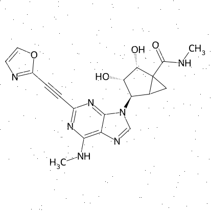 CNC(=O)C12CC1[C@@H](n1cnc3c(NC)nc(C#Cc4ncco4)nc31)[C@H](O)[C@@H]2O